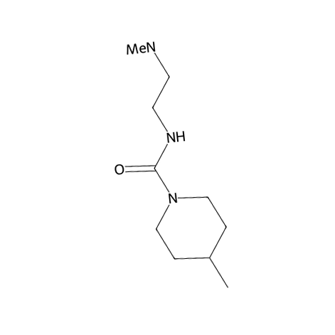 CNCCNC(=O)N1CCC(C)CC1